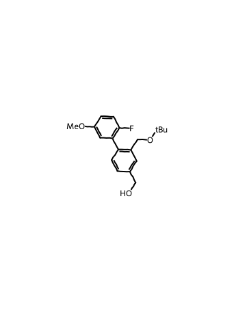 COc1ccc(F)c(-c2ccc(CO)cc2COC(C)(C)C)c1